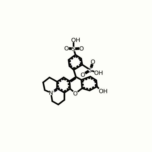 O=S(=O)(O)c1ccc(C2=c3cc4c5c(c3Oc3cc(O)ccc32)CCC[N+]=5CCC4)c(S(=O)(=O)O)c1